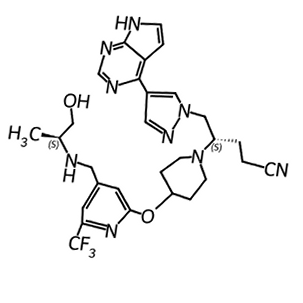 C[C@@H](CO)NCc1cc(OC2CCN([C@@H](CCC#N)Cn3cc(-c4ncnc5[nH]ccc45)cn3)CC2)nc(C(F)(F)F)c1